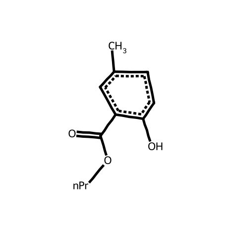 CCCOC(=O)c1cc(C)ccc1O